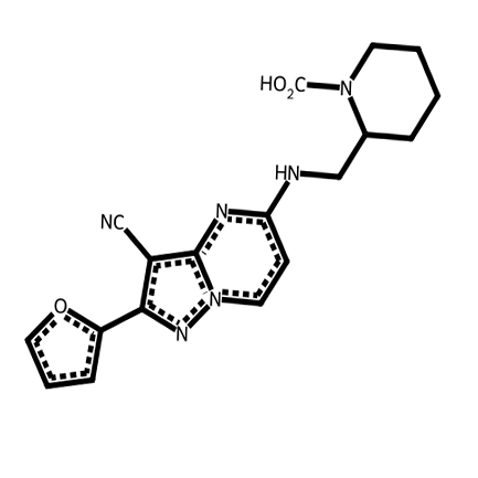 N#Cc1c(-c2ccco2)nn2ccc(NCC3CCCCN3C(=O)O)nc12